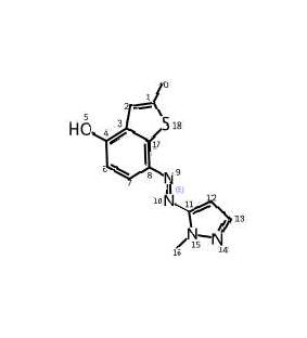 Cc1cc2c(O)ccc(/N=N/c3ccnn3C)c2s1